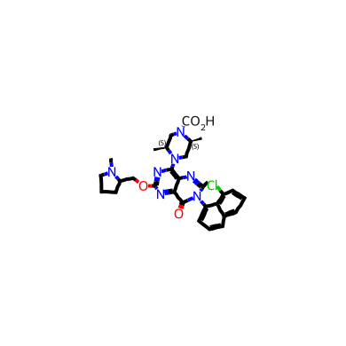 Cc1nc2c(N3C[C@H](C)N(C(=O)O)C[C@@H]3C)nc(OCC3CCCN3C)nc2c(=O)n1-c1cccc2cccc(Cl)c12